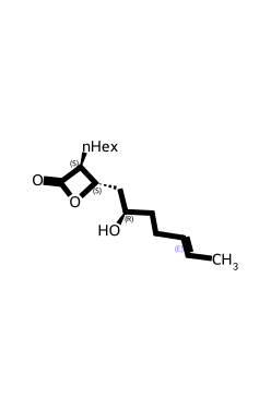 C/C=C/CC[C@@H](O)C[C@@H]1OC(=O)[C@H]1CCCCCC